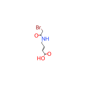 O=C(O)/C=C/CNC(=O)CBr